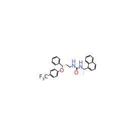 C[C@H](NC(=O)NCC[C@H](Oc1ccc(C(F)(F)F)cc1)c1ccccc1)c1cccc2ccccc12